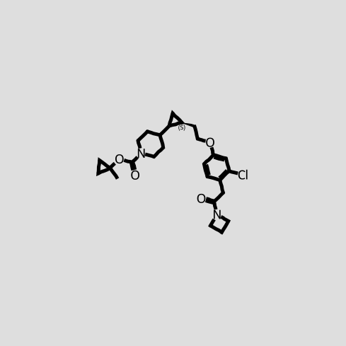 CC1(OC(=O)N2CCC(C3C[C@H]3CCOc3ccc(CC(=O)N4CCC4)c(Cl)c3)CC2)CC1